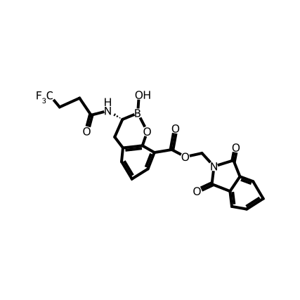 O=C(CCC(F)(F)F)N[C@H]1Cc2cccc(C(=O)OCN3C(=O)c4ccccc4C3=O)c2OB1O